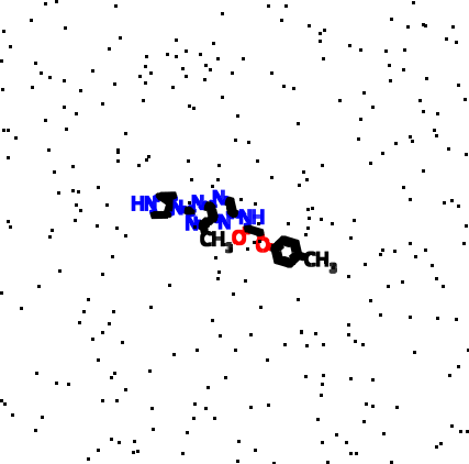 Cc1ccc(OCC(=O)Nc2cnc3nc(N4CC5CC4CN5)nc(C)c3n2)cc1